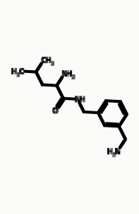 CC(C)CC(N)C(=O)NCc1cccc(CN)c1